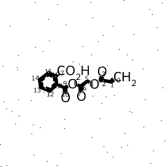 C=CC(=O)OCC(=O)OC(=O)c1ccccc1C(=O)O